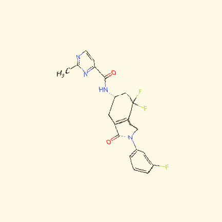 Cc1nccc(C(=O)N[C@H]2CC3=C(CN(c4cccc(F)c4)C3=O)C(F)(F)C2)n1